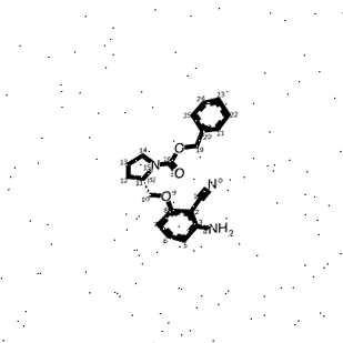 N#Cc1c(N)cccc1OC[C@@H]1CCCN1C(=O)OCc1ccccc1